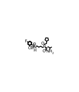 CC(C)C[C@@H](C(N)=O)N(CCCCNS(=O)(=O)c1ccc(F)cc1Cl)C(=O)CC1CCCC1